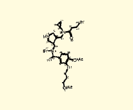 COCCCOc1cc(C(=O)N(CC2CNCC2CN(C(=O)CCC(C)C)C2CC2)C(C)C)ccc1OC